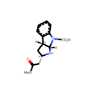 CCOC(=O)N1c2ccccc2[C@H]2C[C@@H](CC(=O)OC)N[C@H]21